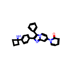 NC1(c2ccc(-c3nc4cc(-n5ccccc5=O)ccn4c3-c3ccccc3)cc2)CCC1